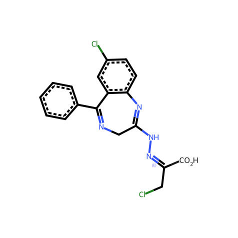 O=C(O)/C(CCl)=N\NC1=Nc2ccc(Cl)cc2C(c2ccccc2)=NC1